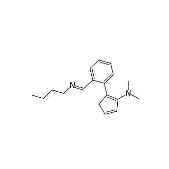 CCCC/N=C/c1ccccc1C1=C(N(C)C)C=CC1